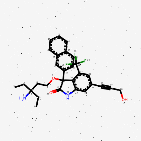 CCC(N)(CC)CCOC1(c2ccc3ccccc3c2)C(=O)Nc2cc(C#CCO)cc(C(F)(F)F)c21